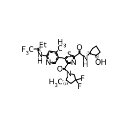 CC[C@H](Nc1cc(C)c(-c2sc(C(=O)N[C@H]3CCC[C@@H]3O)nc2C(=O)N2CC(F)(F)C[C@@H]2C)cn1)C(F)(F)F